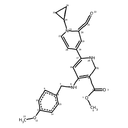 COC(=O)C1=C(NCc2ccc(OC)cc2)C=C(C2=CC(=C=O)N(C3CC3)C=C2)NC1